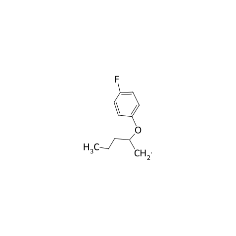 [CH2]C(CCC)Oc1ccc(F)cc1